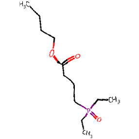 CCCCOC(=O)CCCP(=O)(CC)CC